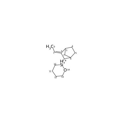 CC=C1C2CCC(C2)C1[SiH]1CCCCO1